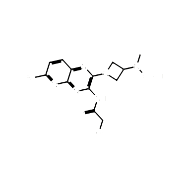 CN(C(=O)O)C1CN(c2nc3ccc(Br)nc3nc2NC(=O)CO)C1